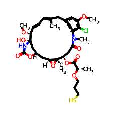 COc1cc2cc(c1Cl)N(C)C(=O)C[C@H](OC(=O)[C@H](C)OCCCS)[C@]1(C)O[C@H]1C[C@@H]1C[C@@](O)(NC(=O)O1)[C@H](OC)/C=C/C=C(\C)C2